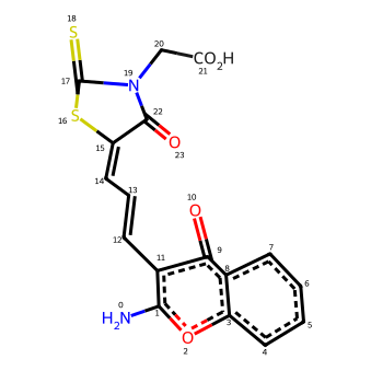 Nc1oc2ccccc2c(=O)c1C=CC=C1SC(=S)N(CC(=O)O)C1=O